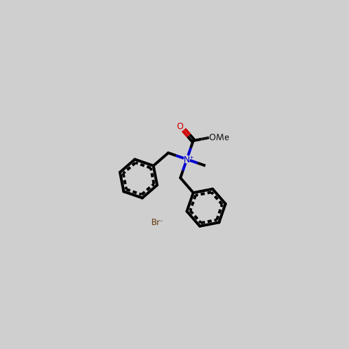 COC(=O)[N+](C)(Cc1ccccc1)Cc1ccccc1.[Br-]